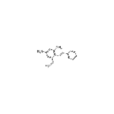 C=Cc1cc(N)cc(N)c1C=Cc1ccccc1